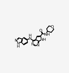 O=C(NC1CCOCC1)c1cc2c(Nc3ccc4[nH]ncc4c3)ncnc2[nH]1